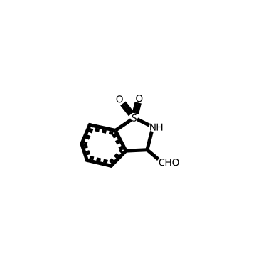 O=CC1NS(=O)(=O)c2ccccc21